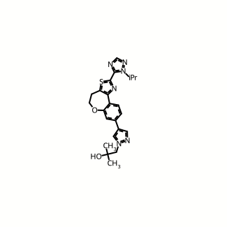 CC(C)n1ncnc1-c1nc2c(s1)CCOc1cc(-c3cnn(CC(C)(C)O)c3)ccc1-2